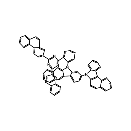 c1ccc(-n2c3cc(-n4c5ccccc5c5c6ccccc6ccc54)ccc3c3cc4ccccc4cc32)c(-c2nc(-c3ccc4ccccc4c3)nc(-c3ccc4c(ccc5ccccc54)c3)n2)c1